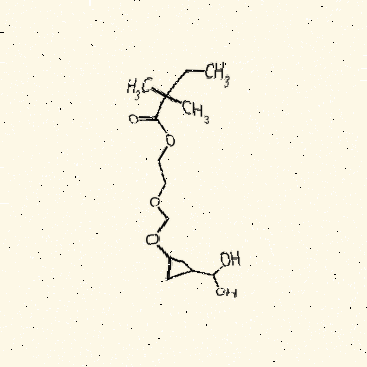 CCC(C)(C)C(=O)OCCOCOC1CC1C(O)O